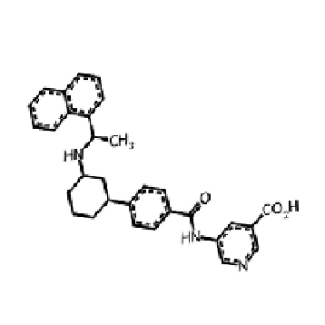 C[C@@H](NC1CCCC(c2ccc(C(=O)Nc3cncc(C(=O)O)c3)cc2)C1)c1cccc2ccccc12